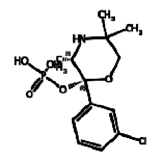 C[C@@H]1NC(C)(C)CO[C@@]1(OP(=O)(O)O)c1cccc(Cl)c1